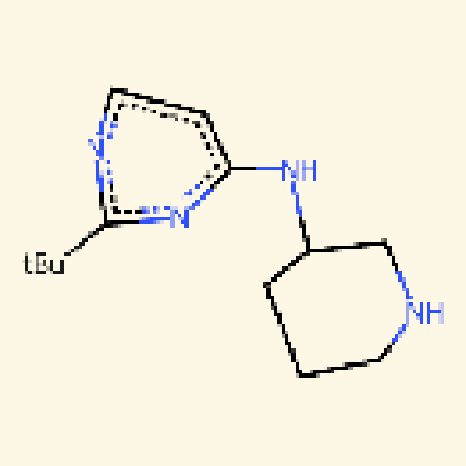 CC(C)(C)c1nccc(NC2CCCNC2)n1